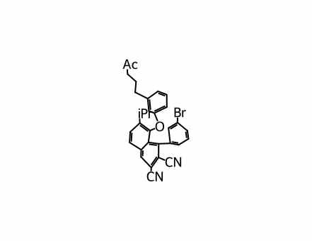 CC(=O)CCCc1cccc(Oc2c(C(C)C)ccc3cc(C#N)c(C#N)c(-c4cccc(Br)c4)c23)c1